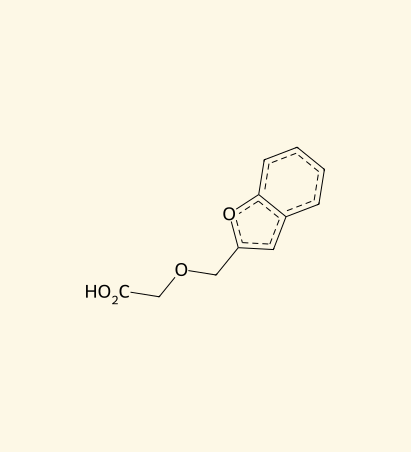 O=C(O)COCc1cc2ccccc2o1